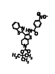 CC(C)(C)OC(=O)N1CCc2c(sc(NC(=O)c3ccc([N+](=O)[O-])cc3)c2-c2nc3ccccc3s2)C1